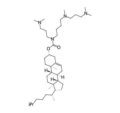 CC(C)CCC[C@@H](C)[C@H]1CC[C@H]2[C@@H]3CC=C4C[C@@H](OC(=O)N(CCCCN(C)CCCN(C)C)CCCN(C)C)CC[C@]4(C)[C@H]3CC[C@]12C